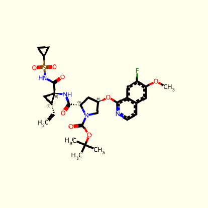 C=C[C@@H]1C[C@]1(NC(=O)[C@@H]1C[C@@H](Oc2nccc3cc(OC)c(F)cc23)CN1C(=O)OC(C)(C)C)C(=O)NS(=O)(=O)C1CC1